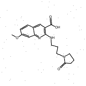 COc1ccc2cc(C(=O)O)c(NCCCN3CCCC3=O)nc2c1